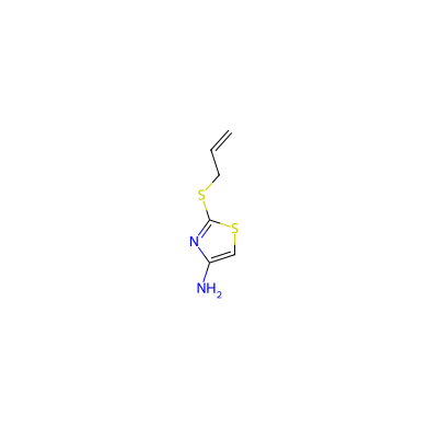 C=CCSc1nc(N)cs1